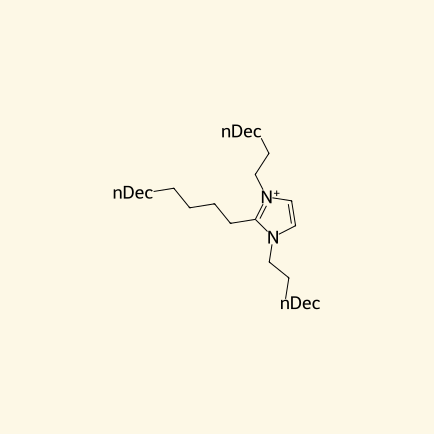 CCCCCCCCCCCCCCc1n(CCCCCCCCCCCC)cc[n+]1CCCCCCCCCCCC